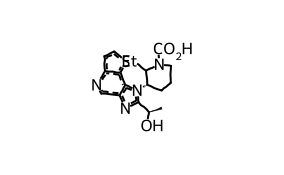 CCC1[C@@H](n2c([C@@H](C)O)nc3cnc4ccsc4c32)CCCN1C(=O)O